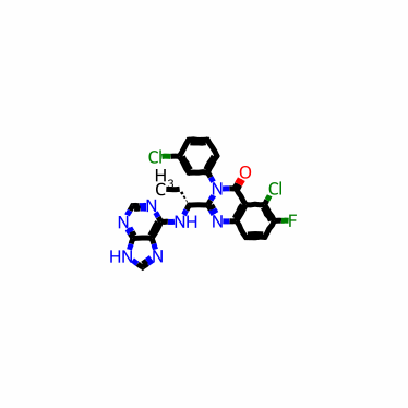 CC[C@@H](Nc1ncnc2[nH]cnc12)c1nc2ccc(F)c(Cl)c2c(=O)n1-c1cccc(Cl)c1